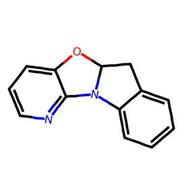 c1ccc2c(c1)CC1Oc3cccnc3N21